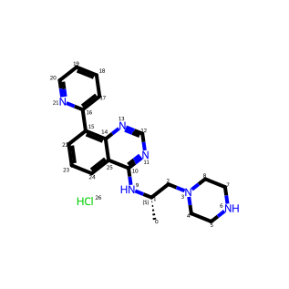 C[C@@H](CN1CCNCC1)Nc1ncnc2c(-c3ccccn3)cccc12.Cl